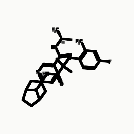 C[C@@H](NC(=O)c1ccc(N2C3CCC2CC(NC(=O)C(C)(C)Oc2ccc(F)cc2C(F)(F)F)C3)nc1)C(F)(F)F